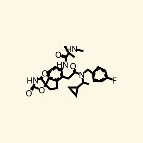 CNC(C)(C)C(=O)Nc1ccc2c(c1CC(=O)N(Cc1ccc(F)cc1)C(C)C1CC1)CCC21OC(=O)NC1=O